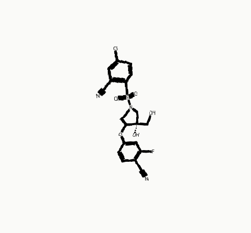 N#Cc1ccc(OC2CN(S(=O)(=O)c3ccc(Cl)cc3C#N)C[C@@]2(O)CO)cc1F